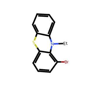 CCN1c2ccccc2Sc2cccc(Br)c21